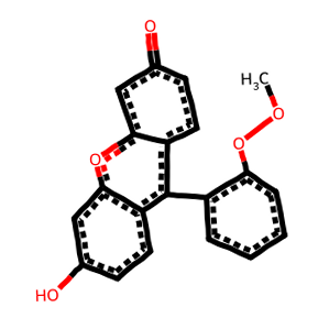 COOc1ccccc1-c1c2ccc(=O)cc-2oc2cc(O)ccc12